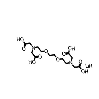 O=C(O)CN(CCOCCOCCN(CC(=O)O)CC(=O)O)CC(=O)O.[LiH]